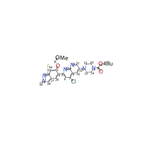 COCOc1c(-c2cc(Cl)c3cc(N4CCN(C(=O)OC(C)(C)C)CC4)cnc3n2)cc2cn(C)nc2c1F